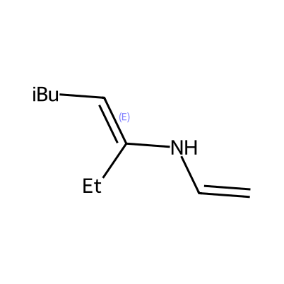 C=CN/C(=C/C(C)CC)CC